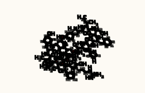 CC[C@H](C)[C@H](NC(=O)[C@@H](N)Cc1ccc(O)cc1)C(=O)N[C@@H](CO)C(=O)N[C@@H](Cc1ccccc1)C(=O)N[C@@H](Cc1c[nH]cn1)C(=O)N[C@@H](CO)C(=O)NCC(=O)NCC(=O)N[C@H](C(=O)N[C@H](C(=O)N[C@@H](Cc1ccc(O)cc1)C(=O)N[C@@H](CC(N)=O)C(=O)N[C@@H](CC(C)C)C(=O)N[C@@H](CCCCN)C(=O)N[C@@H](Cc1ccccc1)C(=O)N[C@@H](CCCNC(=N)N)C(=O)O)[C@@H](C)O)[C@@H](C)O